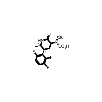 C[C@H]1NC(=O)C(N(C(=O)O)C(C)(C)C)C[C@H]1c1c(F)ccc(F)c1F